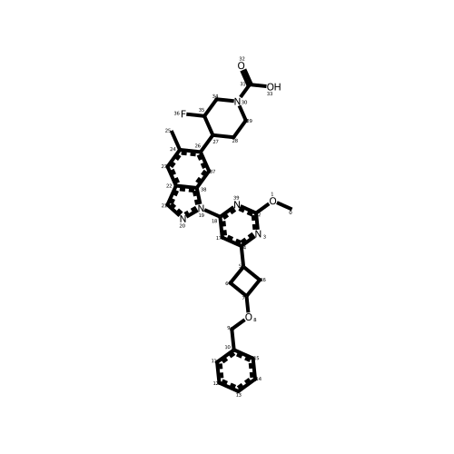 COc1nc(C2CC(OCc3ccccc3)C2)cc(-n2ncc3cc(C)c(C4CCN(C(=O)O)CC4F)cc32)n1